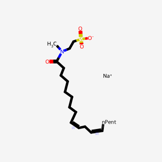 CCCCC/C=C\C/C=C\CCCCCCCC(=O)N(C)CCS(=O)(=O)[O-].[Na+]